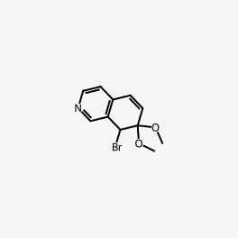 COC1(OC)C=Cc2ccncc2C1Br